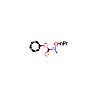 CCCON(C)C(=O)Oc1ccccc1